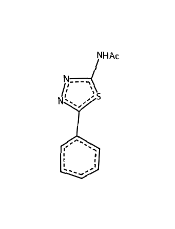 CC(=O)Nc1nnc(-c2ccccc2)s1